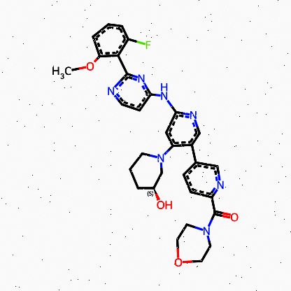 COc1cccc(F)c1-c1nccc(Nc2cc(N3CCC[C@H](O)C3)c(-c3ccc(C(=O)N4CCOCC4)nc3)cn2)n1